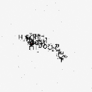 C[C@H]1[C@H](NC(=O)COc2ccc(C(=O)/C=C/c3ccc(F)c(F)c3)cc2)O[C@@H]2O[C@]3(C)CC[C@H]4[C@H](C)CC[C@@H]1[C@@]24OO3